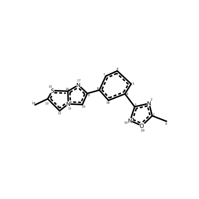 Cc1nc(-c2cccc(-c3cn4cc(C)sc4n3)c2)no1